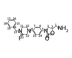 NCC1CN(c2ccc(N3CCN(Cc4ccccc4)C(F)C3)cc2)C(=O)O1